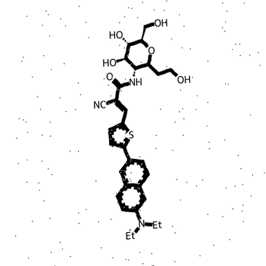 CCN(CC)c1ccc2cc(-c3ccc(/C=C(\C#N)C(=O)N[C@H]4C(CCO)O[C@H](CO)[C@@H](O)[C@@H]4O)s3)ccc2c1